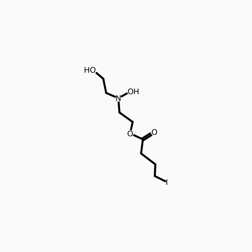 O=C(CCCI)OCCN(O)CCO